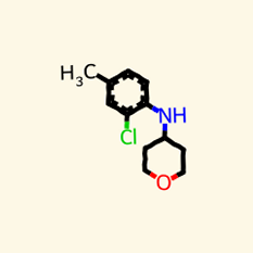 Cc1ccc(NC2CCOCC2)c(Cl)c1